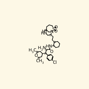 C[C@@H]1CC([C@H](c2ccc(Cl)cc2)[C@H](N)C(=O)N[C@H]2CCCC[C@@H]2CC[C@H]2CN[C@@H]3CCCS(=O)(=O)N2C3)C[C@H](C)O1